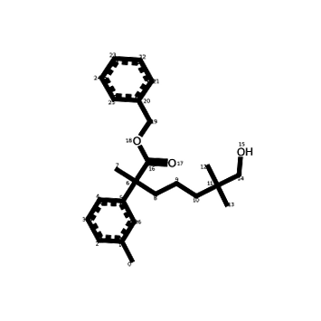 Cc1cccc(C(C)(CCCC(C)(C)CO)C(=O)OCc2ccccc2)c1